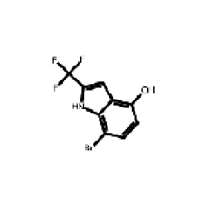 Oc1ccc(Br)c2[nH]c(C(F)(F)F)cc12